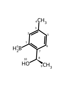 Bc1cc(C)ccc1[C@@H](C)O